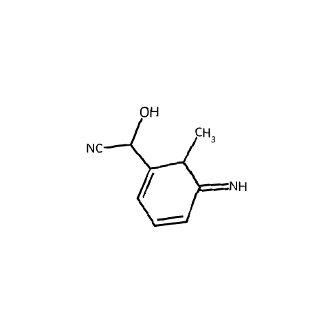 CC1C(=N)C=CC=C1C(O)C#N